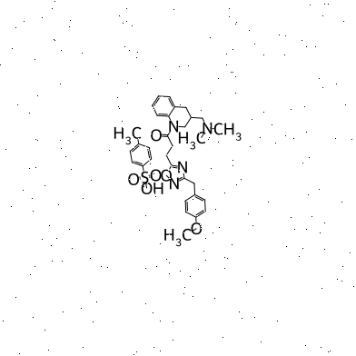 COc1ccc(Cc2noc(CCC(=O)N3CC(CN(C)C)Cc4ccccc43)n2)cc1.Cc1ccc(S(=O)(=O)O)cc1